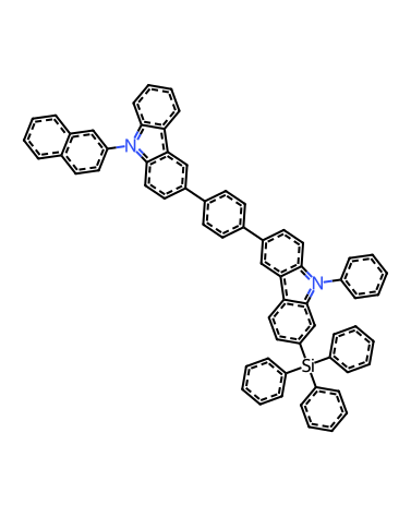 c1ccc(-n2c3ccc(-c4ccc(-c5ccc6c(c5)c5ccccc5n6-c5ccc6ccccc6c5)cc4)cc3c3ccc([Si](c4ccccc4)(c4ccccc4)c4ccccc4)cc32)cc1